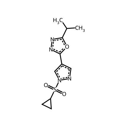 CC(C)c1nnc(-c2cnn(S(=O)(=O)C3CC3)c2)o1